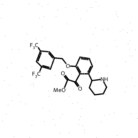 COC(=O)C(=O)c1c(OCc2cc(C(F)(F)F)cc(C(F)(F)F)c2)cccc1C1CCCCN1